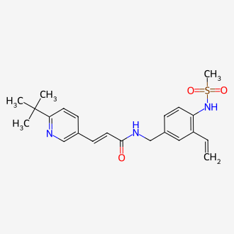 C=Cc1cc(CNC(=O)C=Cc2ccc(C(C)(C)C)nc2)ccc1NS(C)(=O)=O